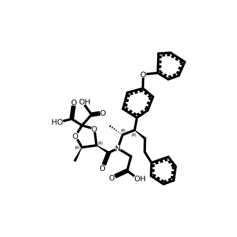 C[C@H]([C@H](CCc1ccccc1)c1ccc(Oc2ccccc2)cc1)N(CC(=O)O)C(=O)[C@@H]1OC(C(=O)O)(C(=O)O)O[C@@H]1C